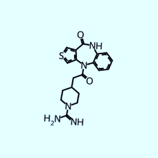 N=C(N)N1CCC(CC(=O)N2c3ccccc3NC(=O)c3cscc32)CC1